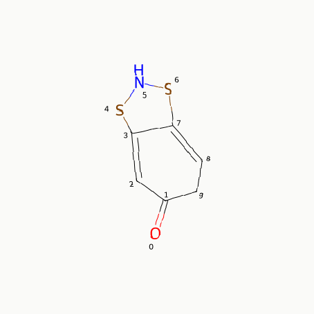 O=C1C=C2SNSC2=CC1